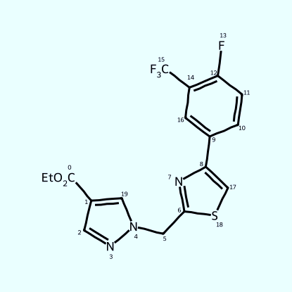 CCOC(=O)c1cnn(Cc2nc(-c3ccc(F)c(C(F)(F)F)c3)cs2)c1